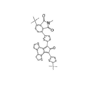 CN1C(=O)c2c(-c3ccc(C4=c5c(c6sccc6c6ccsc56)=C(c5ccc(C(C)(C)C)s5)C4=O)s3)ccc(C(C)(C)C)c2C1=O